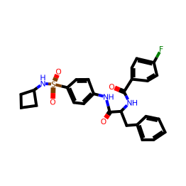 O=C(NC(Cc1ccccc1)C(=O)Nc1ccc(S(=O)(=O)NC2CCC2)cc1)c1ccc(F)cc1